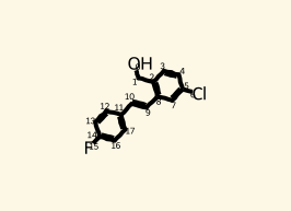 OCc1ccc(Cl)cc1C=Cc1ccc(F)cc1